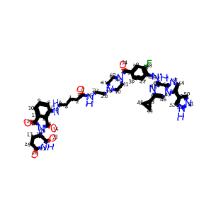 O=C(CCCCNc1cccc2c1C(=O)N(C1CCC(=O)NC1=O)C2=O)NCCN1CCN(C(=O)c2ccc(Nc3nc(C4CC4)cn4c(-c5cn[nH]c5)cnc34)c(F)c2)CC1